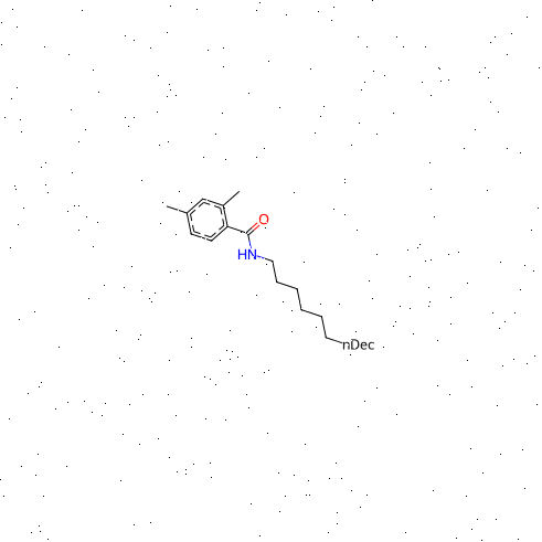 CCCCCCCCCCCCCCCCNC(=O)c1ccc(C)cc1C